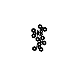 c1ccc(-n2c3ccccc3c3cc([Si](c4ccccc4)(c4ccccc4)c4cccc(-c5nc(-n6c7ccccc7c7ccccc76)nc(-n6c7ccccc7c7ccccc76)n5)c4)ccc32)cc1